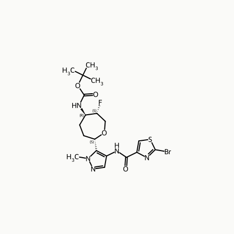 Cn1ncc(NC(=O)c2csc(Br)n2)c1[C@@H]1CC[C@@H](NC(=O)OC(C)(C)C)[C@H](F)CO1